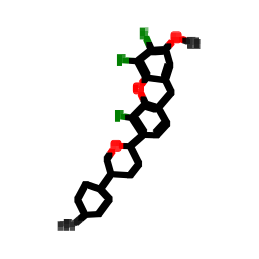 CCCC1CCC(C2CCC(c3ccc4c(c3F)Oc3c(cc(OCC)c(F)c3F)C4)OC2)CC1